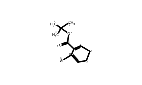 CC(C)(C)OC(=O)C1=CCCC=C1Br